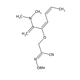 C=C(/C(=C\C=C/C)OC/C(C#N)=N/OC)N(C)C